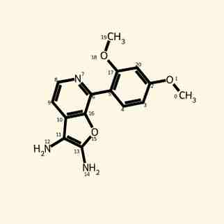 COc1ccc(-c2nccc3c(N)c(N)oc23)c(OC)c1